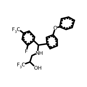 OC(CNC(c1cccc(Oc2ccccc2)c1)c1ccc(C(F)(F)F)cc1F)C(F)(F)F